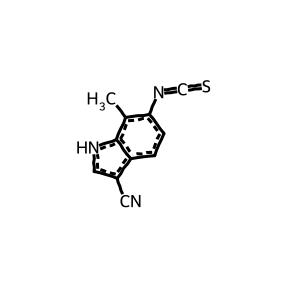 Cc1c(N=C=S)ccc2c(C#N)c[nH]c12